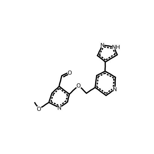 COc1cc(C=O)c(OCc2cncc(-c3cn[nH]c3)c2)cn1